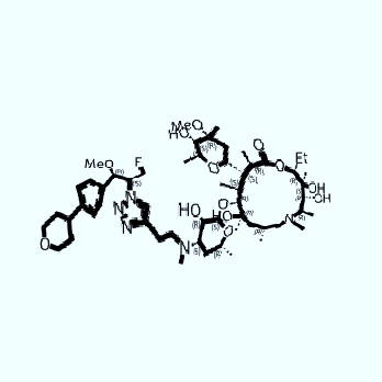 CC[C@H]1OC(=O)[C@H](C)[C@@H](C2C[C@@](C)(OC)[C@@H](O)[C@H](C)O2)[C@H](C)[C@@H](O[C@@H]2O[C@H](C)C[C@H](N(C)CCc3cn([C@H](CF)[C@H](OC)c4ccc(C5CCOCC5)cc4)nn3)[C@H]2O)[C@](C)(O)C[C@@H](C)CN(C)[C@H](C)[C@@H](O)[C@]1(C)O